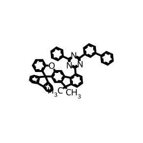 CC1(C)c2cc3c(cc2-c2c(-c4nc(-c5ccccc5)nc(-c5cccc(-c6ccccc6)c5)n4)cccc21)Oc1ccccc1C31c2ccccc2-c2ccccc21